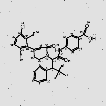 CC(C)(C)C(c1ccccc1)C(C(=O)Nc1ccc(C(=O)O)cc1)N1CCC(c2c(F)ccc(Cl)c2F)=CC1=O